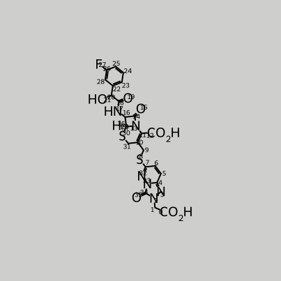 O=C(O)Cn1nc2ccc(SCC3=C(C(=O)O)N4C(=O)C(NC(=O)C(O)c5cccc(F)c5)[C@@H]4SC3)nn2c1=O